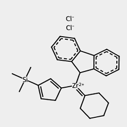 C[Si](C)(C)C1=CC[C]([Zr+2](=[C]2CCCCC2)[CH]2c3ccccc3-c3ccccc32)=C1.[Cl-].[Cl-]